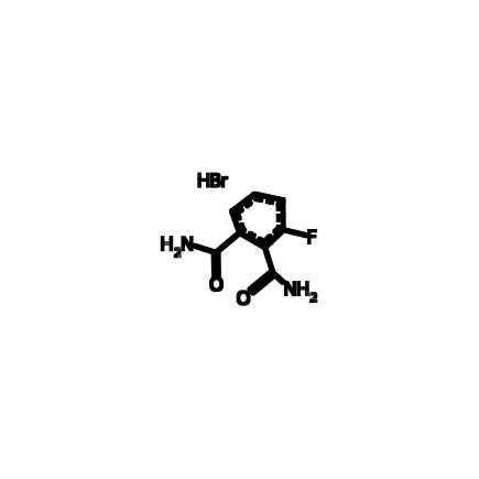 Br.NC(=O)c1cccc(F)c1C(N)=O